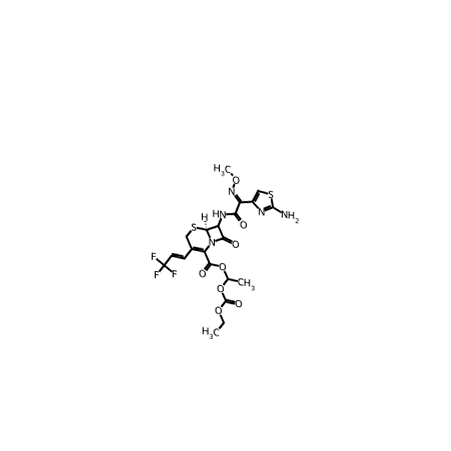 CCOC(=O)OC(C)OC(=O)C1=C(C=CC(F)(F)F)CS[C@H]2C(NC(=O)C(=NOC)c3csc(N)n3)C(=O)N12